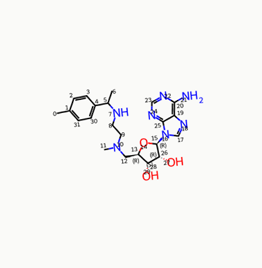 Cc1ccc(C(C)NCCN(C)C[C@H]2O[C@@H](n3cnc4c(N)ncnc43)[C@H](O)[C@@H]2O)cc1